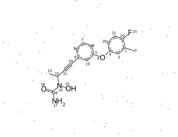 Cc1cc(Oc2cccc(C#CC(C)N(O)C(N)=O)c2)ccc1F